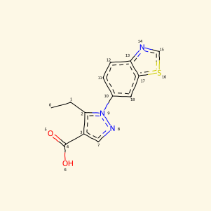 CCc1c(C(=O)O)cnn1-c1ccc2ncsc2c1